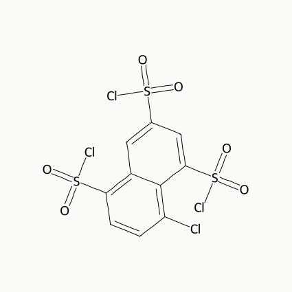 O=S(=O)(Cl)c1cc(S(=O)(=O)Cl)c2c(Cl)ccc(S(=O)(=O)Cl)c2c1